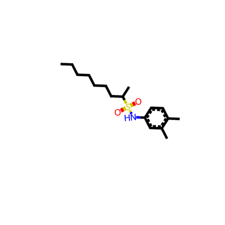 CCCCCCCC(C)S(=O)(=O)Nc1ccc(C)c(C)c1